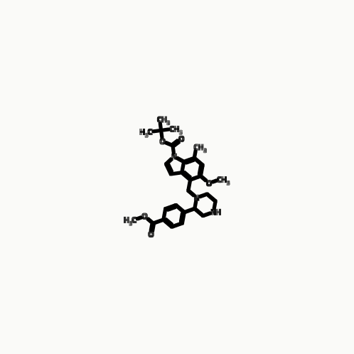 COC(=O)c1ccc(C2CNCCN2Cc2c(OC)cc(C)c3c2ccn3C(=O)OC(C)(C)C)cc1